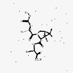 CCC(NC(=O)[C@@H]1[C@@H]2C(CN1C(=O)[C@@H](NC(=O)OC(C)(C)C)C(C)(C)C)C2(C)C)C(=O)C(=O)O